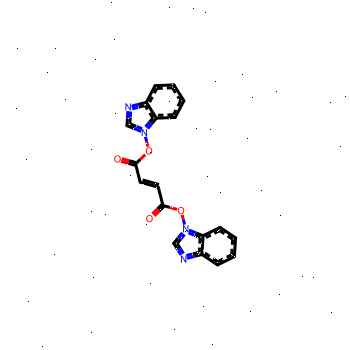 O=C(/C=C/C(=O)On1cnc2ccccc21)On1cnc2ccccc21